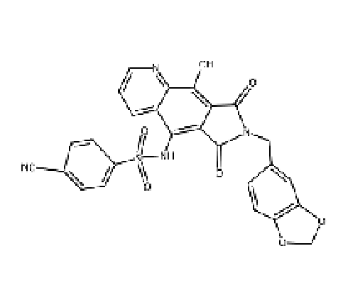 N#Cc1ccc(S(=O)(=O)Nc2c3c(c(O)c4ncccc24)C(=O)N(Cc2ccc4c(c2)OCO4)C3=O)cc1